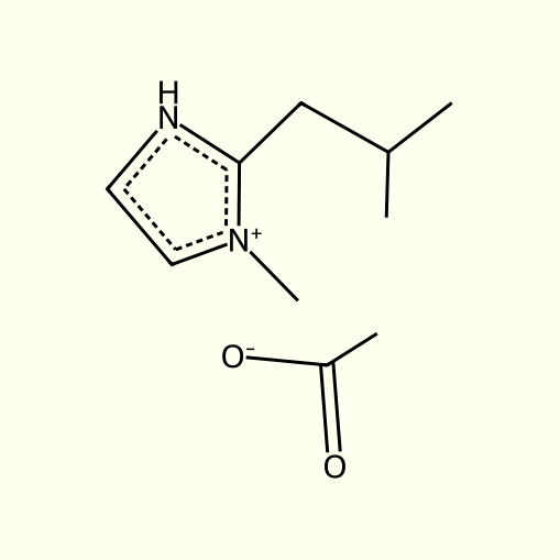 CC(=O)[O-].CC(C)Cc1[nH]cc[n+]1C